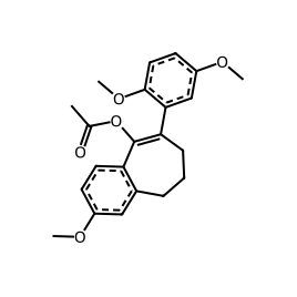 COc1ccc2c(c1)CCCC(c1cc(OC)ccc1OC)=C2OC(C)=O